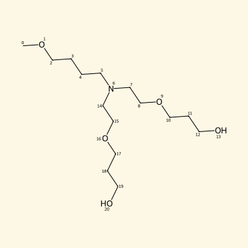 COCCCCN(CCOCCCO)CCOCCCO